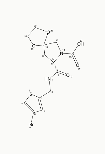 O=C(NCc1cc(Br)cs1)[C@@H]1CC2(CN1C(=O)O)OCCO2